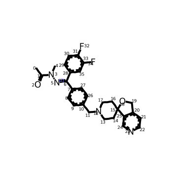 CC(=O)N(C)/N=C(/c1ccc(CN2CCC3(CC2)OCc2ccncc23)cc1)c1ccc(F)c(F)c1